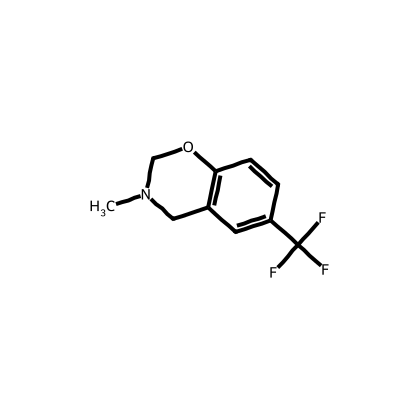 CN1COc2ccc(C(F)(F)F)cc2C1